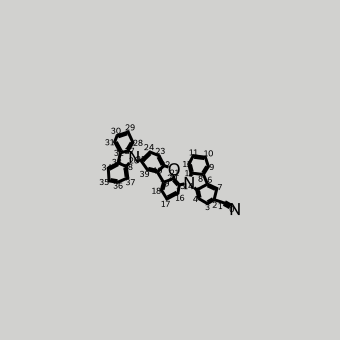 N#Cc1ccc2c(c1)c1ccccc1n2-c1cccc2c1oc1ccc(-n3c4ccccc4c4ccccc43)cc12